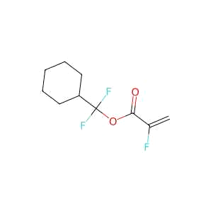 C=C(F)C(=O)OC(F)(F)C1CCCCC1